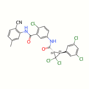 Cc1ccc(C#N)c(NC(=O)c2cc(NC(=O)[C@@H]3[C@@H](c4cc(Cl)cc(Cl)c4)C3(Cl)Cl)ccc2Cl)c1